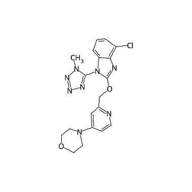 Cn1nnnc1-n1c(OCc2cc(N3CCOCC3)ccn2)nc2c(Cl)cccc21